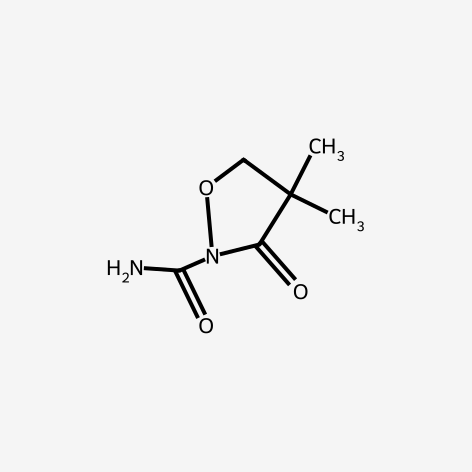 CC1(C)CON(C(N)=O)C1=O